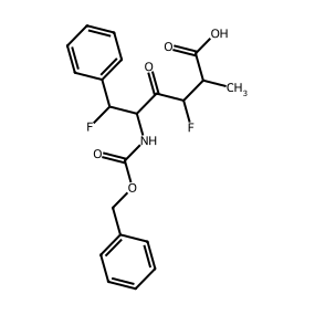 CC(C(=O)O)C(F)C(=O)C(NC(=O)OCc1ccccc1)C(F)c1ccccc1